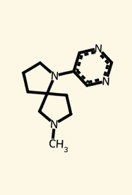 CN1CCC2(CCCN2c2cncnc2)C1